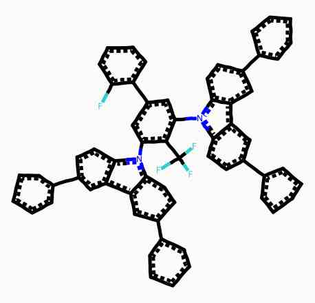 Fc1ccccc1-c1cc(-n2c3ccc(-c4ccccc4)cc3c3cc(-c4ccccc4)ccc32)c(C(F)(F)F)c(-n2c3ccc(-c4ccccc4)cc3c3cc(-c4ccccc4)ccc32)c1